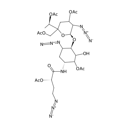 CC(=O)OCC1([C@@H](C)OC(C)=O)CC(OC(C)=O)C(N=[N+]=[N-])[C@@H](O[C@@H]2C(N=[N+]=[N-])C[C@@H](NC(=O)[C@H](CCN=[N+]=[N-])OC(C)=O)C(OC(C)=O)C2O)O1